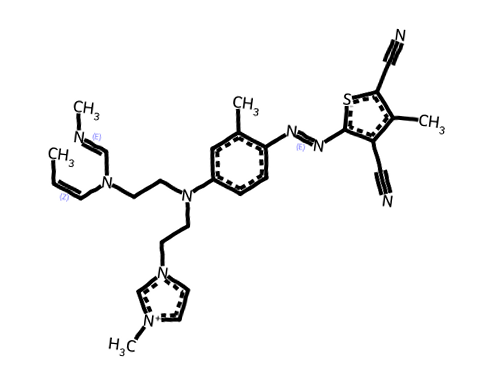 C/C=C\N(/C=N/C)CCN(CCn1cc[n+](C)c1)c1ccc(/N=N/c2sc(C#N)c(C)c2C#N)c(C)c1